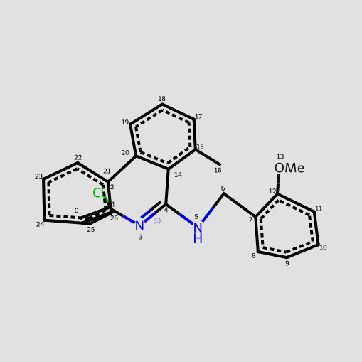 C=C(Cl)/N=C(/NCc1ccccc1OC)c1c(C)cccc1-c1ccccc1